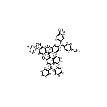 Cc1ccc(N(c2ccc(C)cc2)c2ccc3c(c2)Oc2cc([Si](C)(C)C)cc4c2B3c2c(cc(N(c3ccccc3)c3ccccc3)c3ccccc23)O4)cc1